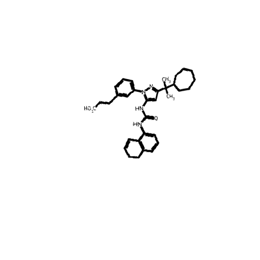 CC(C)(c1cc(NC(=O)Nc2cccc3c2C=CCC3)n(-c2cccc(CCC(=O)O)c2)n1)C1CCCCCC1